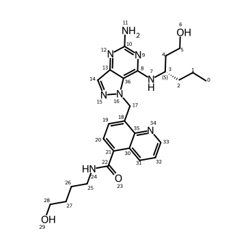 CCC[C@@H](CCO)Nc1nc(N)nc2cnn(Cc3ccc(C(=O)NCCCCO)c4cccnc34)c12